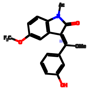 CO/C(=C1\C(=O)N(C(C)=O)c2ccc(OC(F)(F)F)cc21)c1cccc(O)c1